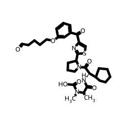 CC(C(=O)N[C@H](C(=O)N1CCCC1c1nc(C(=O)c2cccc(OCCCCC=O)c2)cs1)C1CCCCC1)N(C)C(=O)O